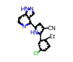 CCc1ccc(Cl)cc1-c1[nH]c(-c2nccc3[nH]ncc23)cc1C#N